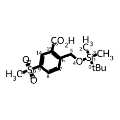 CC(C)(C)[Si](C)(C)OCc1ccc(S(C)(=O)=O)cc1C(=O)O